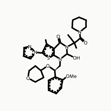 COc1ccccc1[C@H](CN1c2sc(-n3cccn3)c(C)c2C(=O)N(C(C)(C)C(=O)N2CCCCC2)C1O)OC1CCOCC1